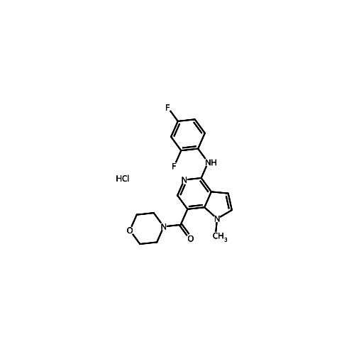 Cl.Cn1ccc2c(Nc3ccc(F)cc3F)ncc(C(=O)N3CCOCC3)c21